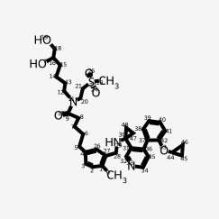 Cc1ccc(CCCCC(=O)N(CCCCC(O)CO)CCS(C)(=O)=O)cc1CNC1(c2cnccc2-c2ccccc2OC2CC2)CC1